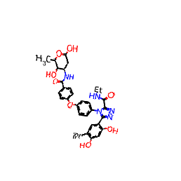 CCNC(=O)c1nnc(-c2cc(C(C)C)c(O)cc2O)n1-c1ccc(Oc2ccc(C(=O)NC3CC(O)OC(C)C3O)cc2)cc1